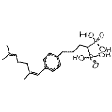 CC(C)=CCCC(C)=Cc1ccc(CCCC(P(=O)(O)O)P(=O)(O)O)cc1